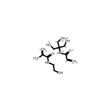 C=C(C)C(=O)NCCO.C=CC(=O)NC(CO)(CO)CO